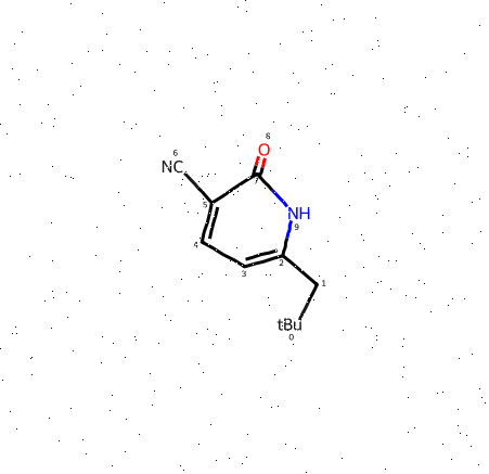 CC(C)(C)Cc1ccc(C#N)c(=O)[nH]1